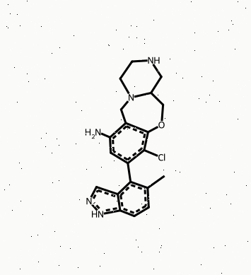 Cc1ccc2[nH]ncc2c1-c1cc(N)c2c(c1Cl)OCC1CNCCN1C2